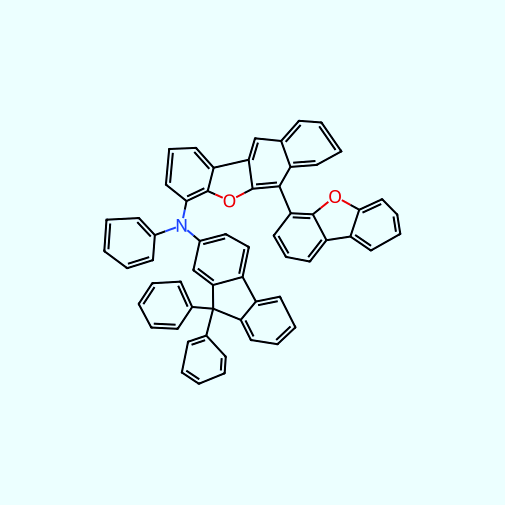 c1ccc(N(c2ccc3c(c2)C(c2ccccc2)(c2ccccc2)c2ccccc2-3)c2cccc3c2oc2c(-c4cccc5c4oc4ccccc45)c4ccccc4cc23)cc1